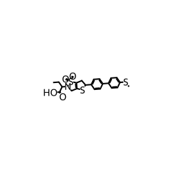 CCC(C(=O)O)N1CC2=C(CC(c3ccc(-c4ccc(SC)cc4)cc3)S2)S1(=O)=O